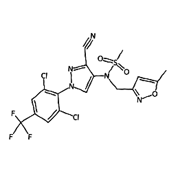 Cc1cc(CN(c2cn(-c3c(Cl)cc(C(F)(F)F)cc3Cl)nc2C#N)S(C)(=O)=O)no1